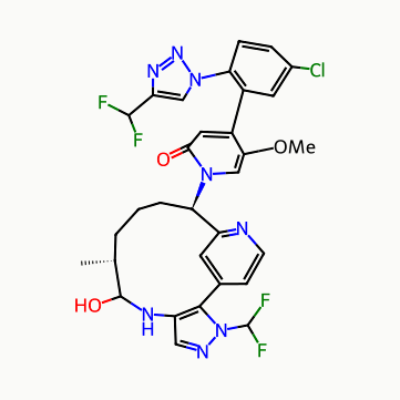 COc1cn([C@@H]2CCC[C@@H](C)C(O)Nc3cnn(C(F)F)c3-c3ccnc2c3)c(=O)cc1-c1cc(Cl)ccc1-n1cc(C(F)F)nn1